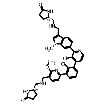 COc1nc(-c2cccc(-c3ccnc(-c4ccc5c(CNC[C@@H]6CCC(=O)N6)cn(C)c5c4)c3Cl)c2Cl)ccc1CNC[C@H]1CCC(=O)N1